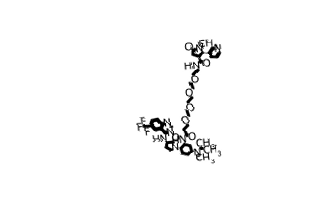 CC(C)N(C)[C@@H]1CC[C@H](N2CC[C@H](Nc3ncnc4ccc(C(F)(F)F)cc34)C2=O)[C@H](NC(=O)CCOCCOCCOCCOCCNC(=O)[C@H]2CC(=O)N(C)[C@@H]2c2cccnc2)C1